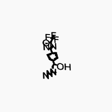 [N-]=[N+]=NCC(O)c1ccc(-c2noc(C(F)(F)F)n2)cc1